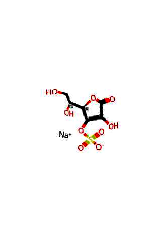 O=C1O[C@H]([C@@H](O)CO)C(OS(=O)(=O)[O-])=C1O.[Na+]